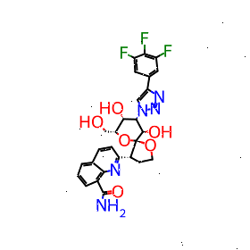 NC(=O)c1cccc2ccc([C@H]3CCO[C@]34O[C@H](CO)[C@H](O)[C@H](n3cc(-c5cc(F)c(F)c(F)c5)nn3)[C@H]4O)nc12